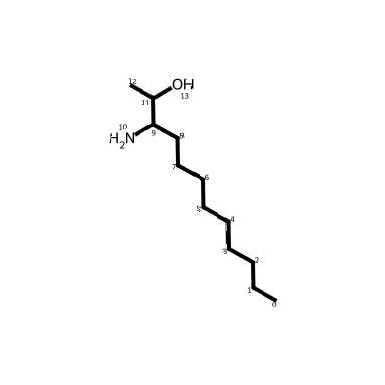 CCCCCCCCCC(N)C(C)O